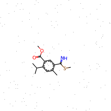 COC(=O)c1cc(C(=N)SC)c(C)cc1C(C)C